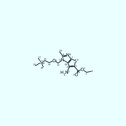 CCOC(=O)c1sc2nc(C)n(COCC[Si](C)(C)C)c2c1N